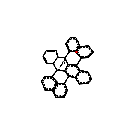 C1=CC2C(C=C1)C1(c3ccccc3)OOC2(c2ccccc2)c2c1c(-c1ccccc1)c1ccccc1c2-c1ccccc1